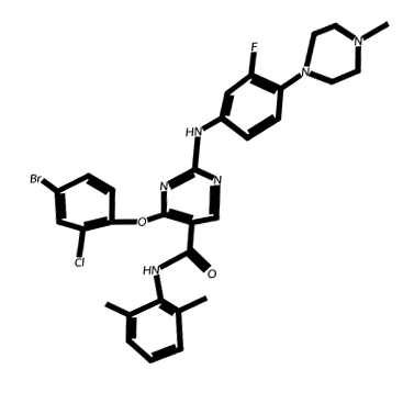 Cc1cccc(C)c1NC(=O)c1cnc(Nc2ccc(N3CCN(C)CC3)c(F)c2)nc1Oc1ccc(Br)cc1Cl